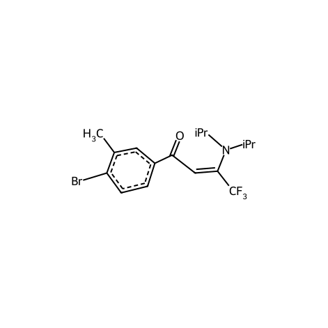 Cc1cc(C(=O)C=C(N(C(C)C)C(C)C)C(F)(F)F)ccc1Br